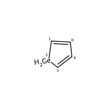 C1=[CH][GeH2][CH]=C1